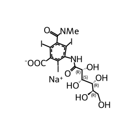 CNC(=O)c1c(I)c(NC(=O)[C@H](O)[C@@H](O)[C@H](O)[C@H](O)CO)c(I)c(C(=O)[O-])c1I.[Na+]